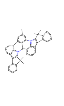 Cc1cc2c3c(c1)-n1c4c(c5cccc(c51)B3n1c3c(c5cccc-2c51)-c1ccccc1C3(C)C)-c1ccccc1C4(C)C